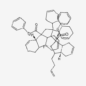 C=CCCC1[C@H]2CC=CCC2C(CC2(CC3(C(=O)Oc4ccccc4)C4CC=CCC4C4CCC=C[C@@H]43)C3CC=CC=C3C3CCC=C[C@@H]32)(C(=O)Oc2ccccc2)[C@H]1I